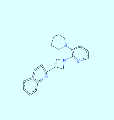 c1cnc(N2CC(c3ccc4ccccc4n3)C2)c(N2CCCCC2)c1